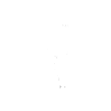 CC(C)(C)OC(=O)N1CCC(N)CC1=O